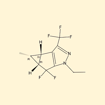 CCn1nc(C(F)(F)F)c2c1C(F)(F)[C@@H]1[C@H](C)[C@H]21